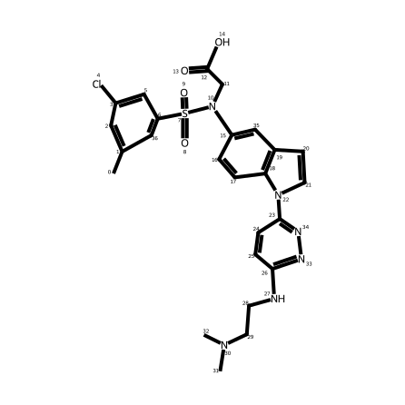 Cc1cc(Cl)cc(S(=O)(=O)N(CC(=O)O)c2ccc3c(ccn3-c3ccc(NCCN(C)C)nn3)c2)c1